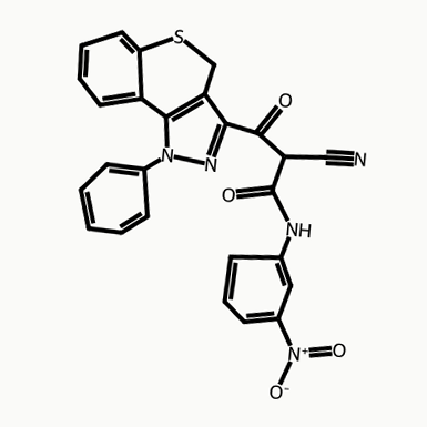 N#CC(C(=O)Nc1cccc([N+](=O)[O-])c1)C(=O)c1nn(-c2ccccc2)c2c1CSc1ccccc1-2